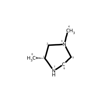 C[C@@H]1CN(C)CCN1